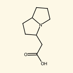 O=C(O)CC1CCC2CCCN21